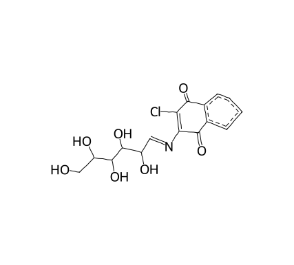 O=C1C(Cl)=C(/N=C/C(O)C(O)C(O)C(O)CO)C(=O)c2ccccc21